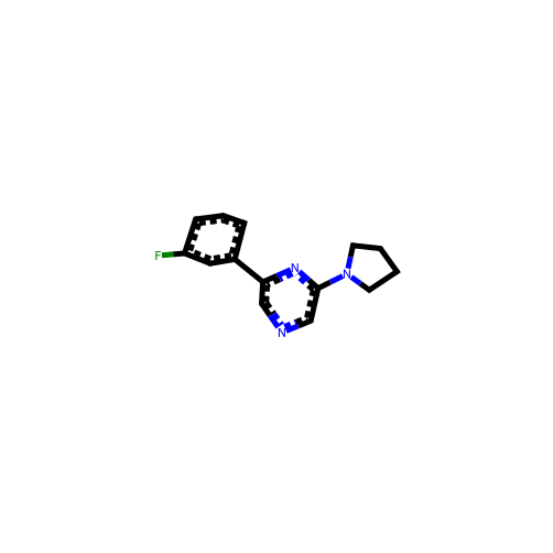 Fc1cccc(-c2cncc(N3CCCC3)n2)c1